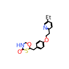 CCc1ccc(CCOc2ccc(CC3OCNC(=O)S3)cc2)nc1